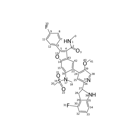 CNC(=O)c1c(-c2ccc(F)cc2)oc2cc(N(C)S(C)(=O)=O)c(-c3cc(C4Cc5c(F)cccc5N4)ncc3OC)cc12